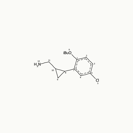 CC(C)COc1ccc(Cl)cc1C1CC1CN